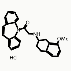 COc1cccc2c1CC(NCC(=O)N1c3ccccc3C=Cc3ccccc31)CC2.Cl